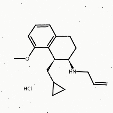 C=CCN[C@@H]1CCc2cccc(OC)c2[C@@H]1CC1CC1.Cl